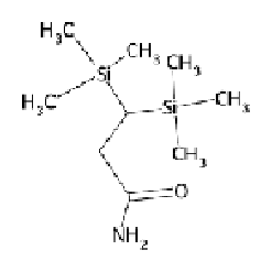 C[Si](C)(C)C(CC(N)=O)[Si](C)(C)C